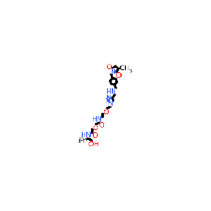 CC1CC(=O)N(CC2CCC(CNCc3cn(CCOCCNC(=O)COCC(=O)NC(CO)C(C)C)nn3)CC2)C1=O